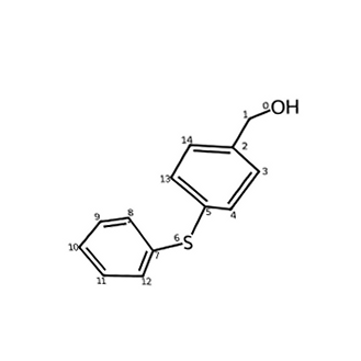 OCc1ccc(Sc2[c]cccc2)cc1